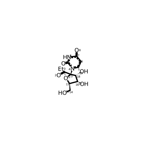 CCC(=O)[C@@]1(n2ccc(=O)[nH]c2=O)O[C@H](CO)[C@@H](O)[C@H]1O